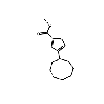 COC(=O)c1cc(C2CCCCCCC2)no1